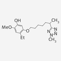 CCc1cc(OC)c(O)cc1OCCCCCC(C)c1nnn(C)n1